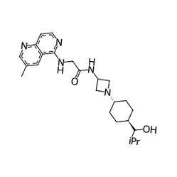 Cc1cnc2ccnc(NCC(=O)NC3CN([C@H]4CC[C@H](C(O)C(C)C)CC4)C3)c2c1